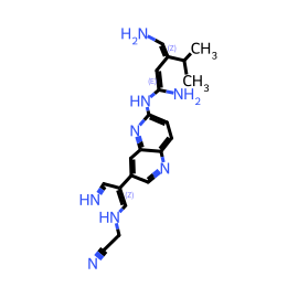 CC(C)C(=C/N)/C=C(\N)Nc1ccc2ncc(/C(C=N)=C/NCC#N)cc2n1